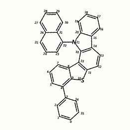 c1ccc(-c2cccc3c2sc2ccc4c5ccccc5n(-c5cccc6ccccc56)c4c23)cc1